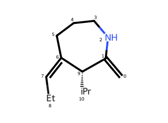 C=C1NCCC/C(=C/CC)[C@H]1C(C)C